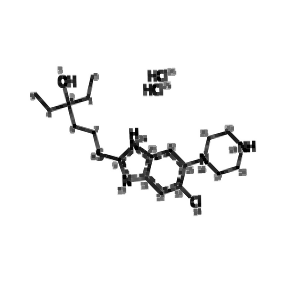 CCC(O)(CC)CCSc1nc2cc(Cl)c(N3CCNCC3)cc2[nH]1.Cl.Cl